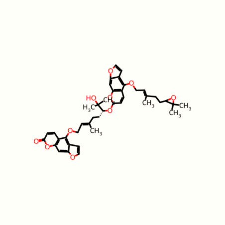 C/C(=C\COc1c2c(cc3occc13)OC(O[C@H](CC/C(C)=C/COc1c3ccoc3cc3oc(=O)ccc13)C(C)(C)O)C=C2)CCC1OC1(C)C